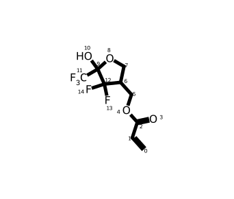 C=CC(=O)OCC1COC(O)(C(F)(F)F)C1(F)F